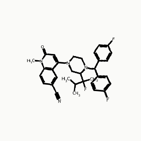 CC(C)C(C)(F)C1CN(c2cc(=O)n(C)c3ccc(C#N)cc23)CCN1C(c1ccc(F)cc1)c1ccc(F)cc1